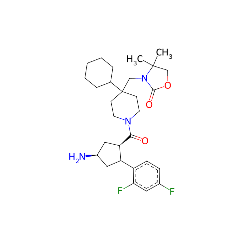 CC1(C)COC(=O)N1CC1(C2CCCCC2)CCN(C(=O)[C@@H]2C[C@H](N)CC2c2ccc(F)cc2F)CC1